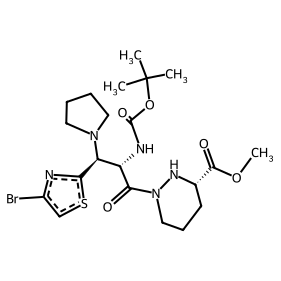 COC(=O)[C@@H]1CCCN(C(=O)[C@@H](NC(=O)OC(C)(C)C)[C@@H](c2nc(Br)cs2)N2CCCC2)N1